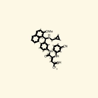 COc1ccc2ccccc2c1C(NCC1CC1)c1cccc(NC(=O)/C(=C/C(=N)C(F)(F)F)Nc2cccc(C#N)c2)c1